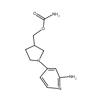 NC(=O)OCC1CCN(c2ccnc(N)c2)C1